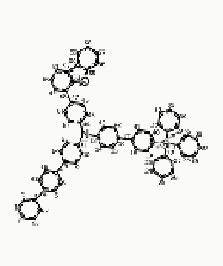 c1ccc(-c2ccc(-c3ccc(N(c4ccc(-c5ccc([Si](c6ccccc6)(c6ccccc6)c6ccccc6)cc5)cc4)c4ccc(-c5cccc6c5oc5ccccc56)cc4)cc3)cc2)cc1